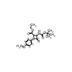 CCOC(=O)C1C(NC(=O)OC(C)(C)C)C(=O)N1c1ccc(OC)cc1